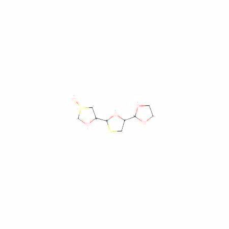 [O-][S+]1COC(C2OC(C3OCCO3)CS2)C1